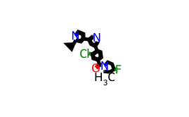 CC1CN(C(=O)c2ccc(-c3cncc(-c4ccnc(C5CC5)c4)c3)c(Cl)c2)CCC1F